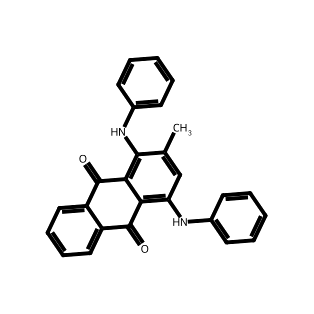 Cc1cc(Nc2ccccc2)c2c(c1Nc1ccccc1)C(=O)c1ccccc1C2=O